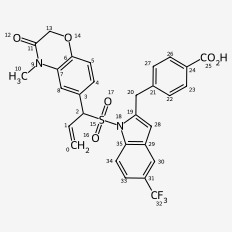 C=CC(c1ccc2c(c1)N(C)C(=O)CO2)S(=O)(=O)n1c(Cc2ccc(C(=O)O)cc2)cc2cc(C(F)(F)F)ccc21